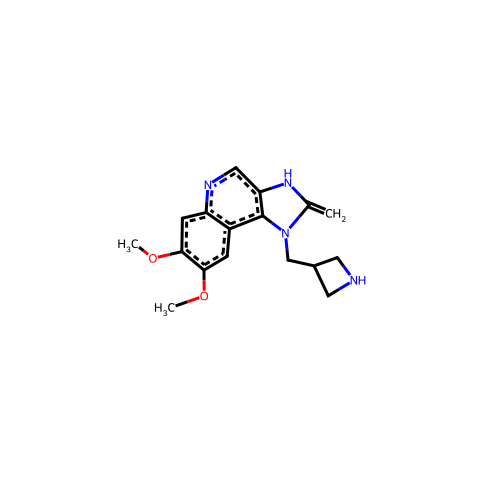 C=C1Nc2cnc3cc(OC)c(OC)cc3c2N1CC1CNC1